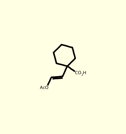 CC(=O)OC=CC1(C(=O)O)CCCCC1